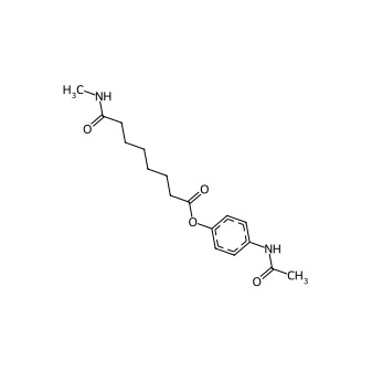 CNC(=O)CCCCCCC(=O)Oc1ccc(NC(C)=O)cc1